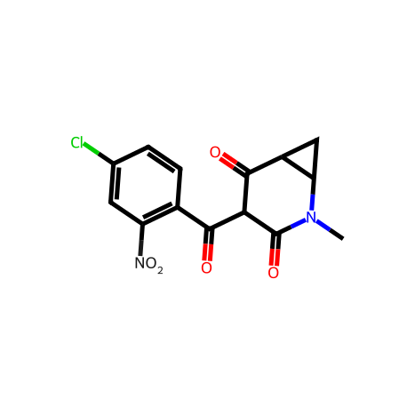 CN1C(=O)C(C(=O)c2ccc(Cl)cc2[N+](=O)[O-])C(=O)C2CC21